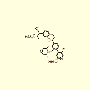 COc1cc(-c2ccc(C3CCc4ccc(C(C5CC5)[C@H](C)C(=O)O)cc4O3)cc2CN2[C@H](C)COC[C@H]2C)c(F)cn1